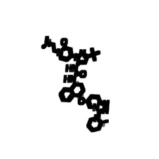 C[C@H]1CCCCN1c1nnc2ccc(O[C@@H]3CC[C@H](NC(=O)Nc4cc(C(C)(C)C)nn4-c4ccn(CCN(C)C)c(=O)c4)c4ccccc43)cn12